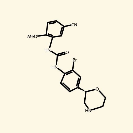 COc1ccc(C#N)cc1NC(=O)Nc1ccc([C@@H]2CNCCO2)cc1Br